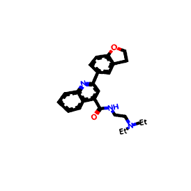 CCN(CC)CCNC(=O)c1cc(-c2ccc3c(c2)CCO3)nc2ccccc12